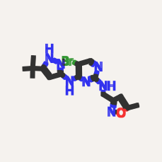 Cc1cc(CNc2ncc(Br)c(Nc3cc(C(C)(C)C)[nH]n3)n2)no1